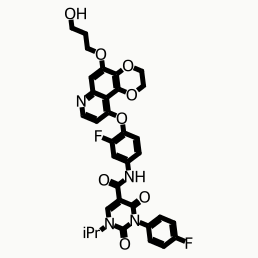 CC(C)n1cc(C(=O)Nc2ccc(Oc3ccnc4cc(OCCCO)c5c(c34)OCCO5)c(F)c2)c(=O)n(-c2ccc(F)cc2)c1=O